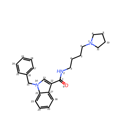 O=C(NCCCCN1C[CH]CC1)c1cn(Cc2ccccc2)c2ccccc12